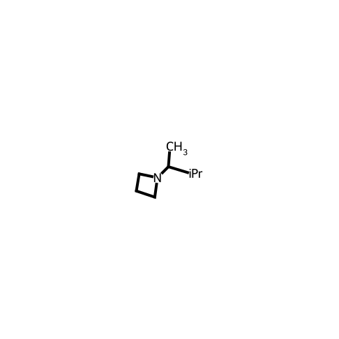 CC(C)C(C)N1CCC1